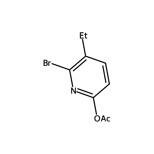 CCc1ccc(OC(C)=O)nc1Br